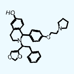 Oc1ccc2c(c1)CCN(C(Cc1ccccc1)C1=COCO1)C2c1ccc(OCCN2CCCC2)cc1